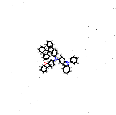 CC1Cc2c(c3c(n2-c2ccccc2)CC=CCC3)C=C1N(C1=CC=C2c3ccccc3OC2C1)c1ccc2c(c1)C(C1C=CC=CC1)(C1C=CCCC1)C1=C2CCC=C1